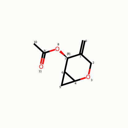 C=C1COC2CC2[C@H]1OC(C)=O